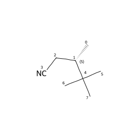 C[C@@H](CC#N)C(C)(C)C